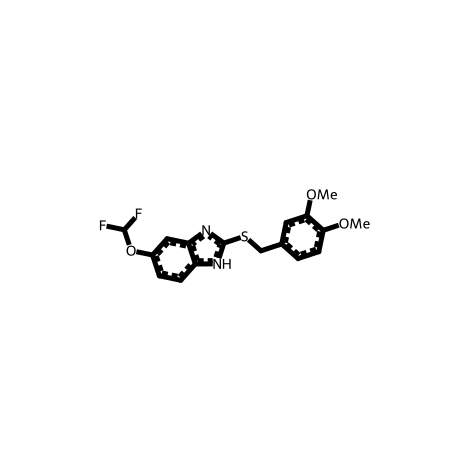 COc1ccc(CSc2nc3cc(OC(F)F)ccc3[nH]2)cc1OC